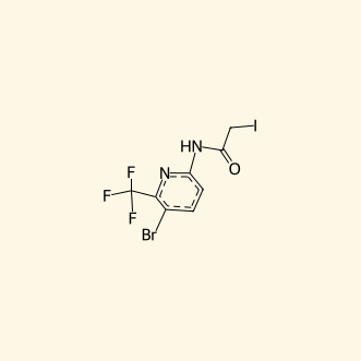 O=C(CI)Nc1ccc(Br)c(C(F)(F)F)n1